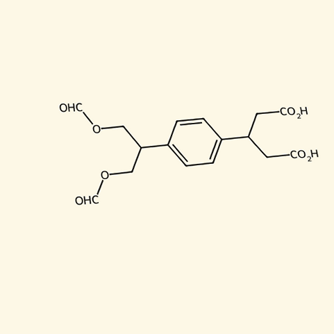 O=COCC(COC=O)c1ccc(C(CC(=O)O)CC(=O)O)cc1